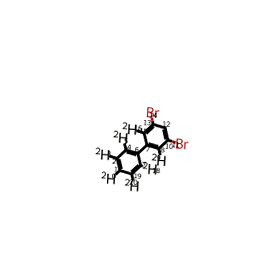 [2H]c1c([2H])c([2H])c(-c2c([2H])c(Br)cc(Br)c2[2H])c([2H])c1[2H]